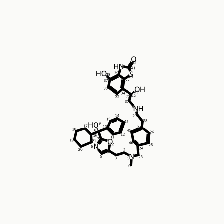 CN(CCc1cnc([C@](O)(c2ccccc2)C2CCCCC2)o1)Cc1ccc(CCNC[C@H](O)c2ccc(O)c3[nH]c(=O)sc23)cc1